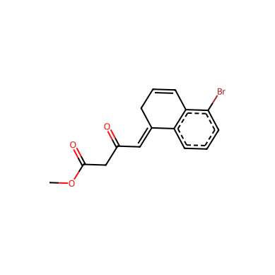 COC(=O)CC(=O)C=C1CC=Cc2c(Br)cccc21